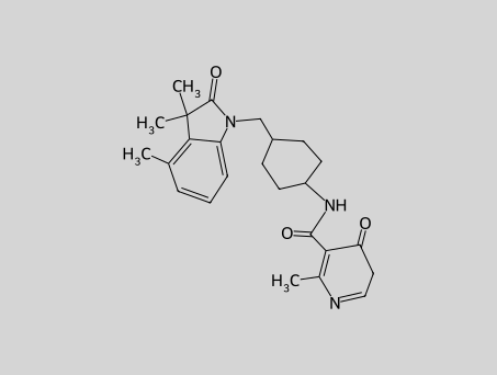 CC1=C(C(=O)NC2CCC(CN3C(=O)C(C)(C)c4c(C)cccc43)CC2)C(=O)CC=N1